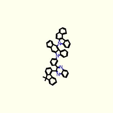 CC1(C)c2ccccc2-c2c(-c3nc4ccccc4nc3-c3cccc(-n4c5ccccc5c5c(-n6c7ccccc7c7c8ccccc8ccc76)c6ccccc6cc54)c3)cccc21